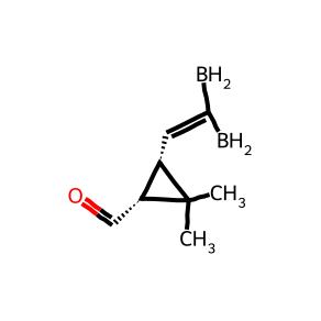 BC(B)=C[C@H]1[C@@H](C=O)C1(C)C